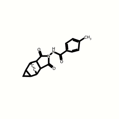 Cc1ccc(C(=O)NN2C(=O)C3C4CCC(C5CC54)C3C2=O)cc1